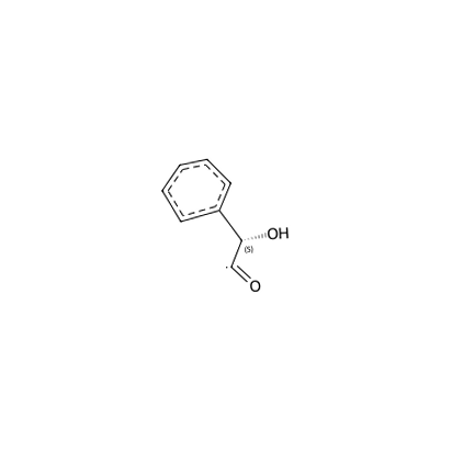 O=[C][C@@H](O)c1ccccc1